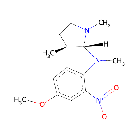 COc1cc([N+](=O)[O-])c2c(c1)[C@]1(C)CCN(C)[C@@H]1N2C